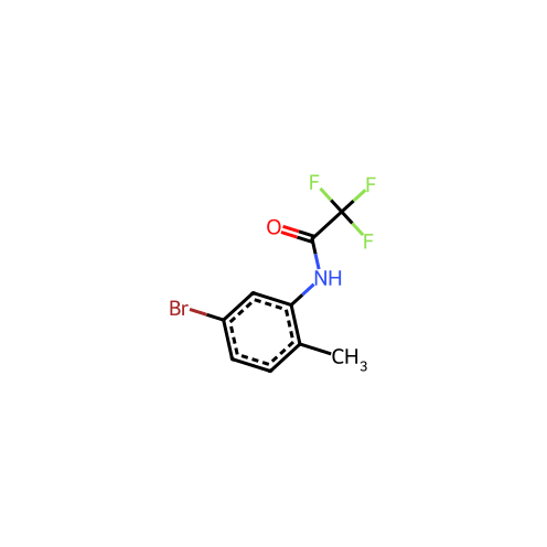 Cc1ccc(Br)cc1NC(=O)C(F)(F)F